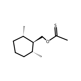 CC(=S)OC[C@H]1[C@H](C)CCC[C@@H]1C